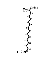 [CH2]CCCC(CC)CCCCCCCCCCCCCCCCCCCCCCC